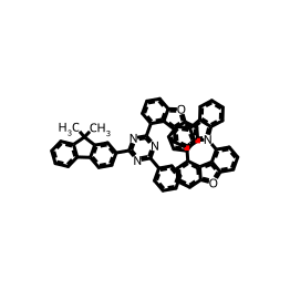 CC1(C)c2ccccc2-c2ccc(-c3nc(-c4ccccc4)nc(-c4cccc5oc6ccc(-c7cccc8oc9cccc(-n%10c%11ccccc%11c%11ccccc%11%10)c9c78)cc6c45)n3)cc21